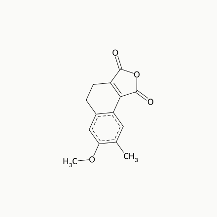 COc1cc2c(cc1C)C1=C(CC2)C(=O)OC1=O